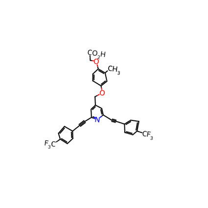 Cc1cc(OCc2cc(C#Cc3ccc(C(F)(F)F)cc3)nc(C#Cc3ccc(C(F)(F)F)cc3)c2)ccc1OCC(=O)O